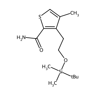 Cc1csc(C(N)=O)c1CCO[Si](C)(C)C(C)(C)C